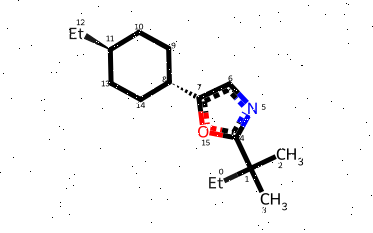 CCC(C)(C)c1ncc([C@H]2CC[C@H](CC)CC2)o1